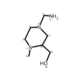 CN1CCN(CN)CC1CO